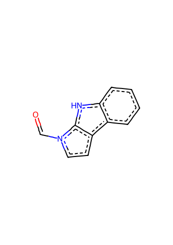 O=Cn1ccc2c3ccccc3[nH]c21